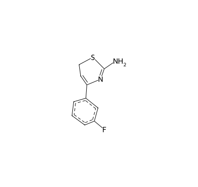 NC1=NC(c2cccc(F)c2)=CCS1